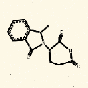 CC1c2ccccc2C(=O)N1C1CCC(=O)NC1=O